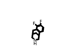 Fc1ccc2c(c1F)CC1CNCC2C1